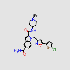 CC(C)N1CCC(NC(=O)c2cc3cc(C(N)=O)ccc3n2Cc2cc(-c3ccc(Cl)s3)on2)CC1